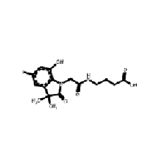 CC1(C)C(=O)N(CC(=O)NCCCC(=O)O)c2c(O)cc(I)cc21